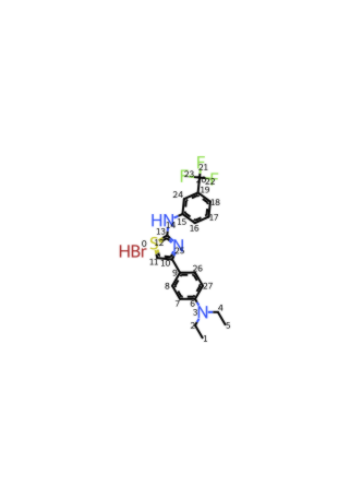 Br.CCN(CC)c1ccc(-c2csc(Nc3cccc(C(F)(F)F)c3)n2)cc1